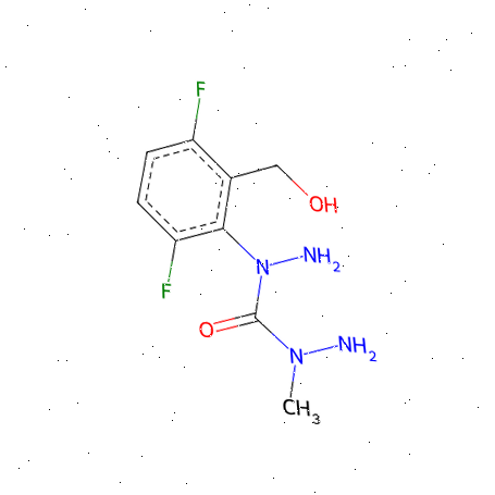 CN(N)C(=O)N(N)c1c(F)ccc(F)c1CO